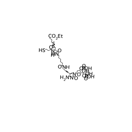 CCOC(=O)CCCSSCC(NC(=O)CCS)C(=O)NCCCCCC(=O)NCC#Cc1cn(C2CC(OP(=O)(O)O)C(COP(=O)(O)O)O2)c(=O)nc1N